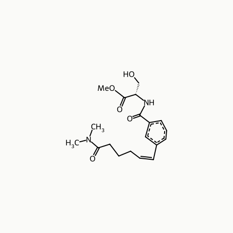 COC(=O)[C@H](CO)NC(=O)c1cccc(/C=C\CCCC(=O)N(C)C)c1